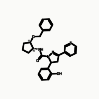 O=C(N[C@@H]1CCC[C@H]1OCc1ccccc1)N1N=C(c2cccnc2)CC1c1ccccc1O